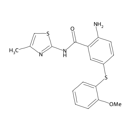 COc1ccccc1Sc1ccc(N)c(C(=O)Nc2nc(C)cs2)c1